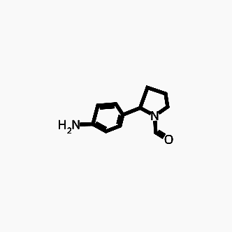 Nc1ccc(C2CCCN2C=O)cc1